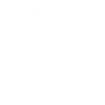 C=CCN(CC(N)=O)S(=O)(=O)Cc1ccc(C(F)(F)F)c(C(F)(F)F)c1